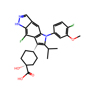 COc1cc(-n2c(C(C)C)c([C@H]3CC[C@](O)(C(=O)O)CC3)c3c(F)c4[nH]ncc4cc32)ccc1F